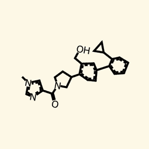 Cn1cnc(C(=O)N2CCC(c3ccc(-c4ccccc4C4CC4)cc3CO)C2)c1